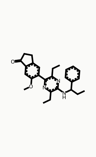 CCc1nc(-c2cc3c(cc2OC)C(=O)CC3)c(CC)nc1NC(CC)c1ccccc1